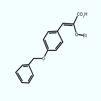 CCOC(=Cc1ccc(OCc2ccccc2)cc1)C(=O)O